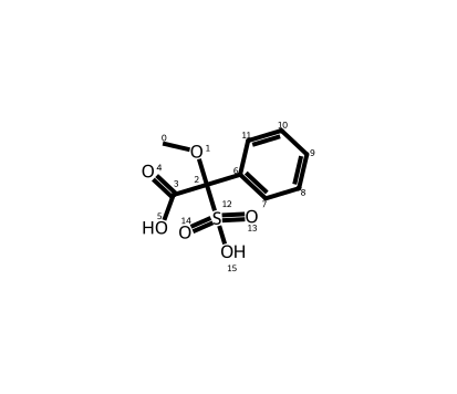 COC(C(=O)O)(c1ccccc1)S(=O)(=O)O